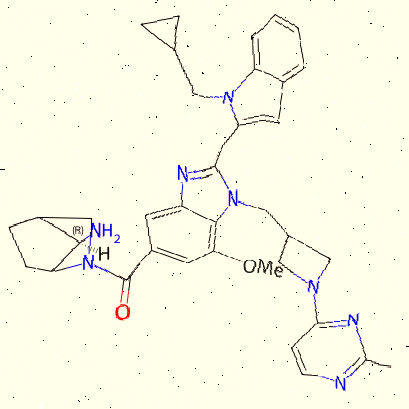 COc1cc(C(=O)N2CC3CCC2[C@@H]3N)cc2nc(-c3cc4ccccc4n3CC3CC3)n(CC3CN(c4ccnc(C)n4)C3)c12